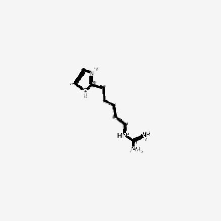 N=C(N)NCCC[CH]Cc1nccs1